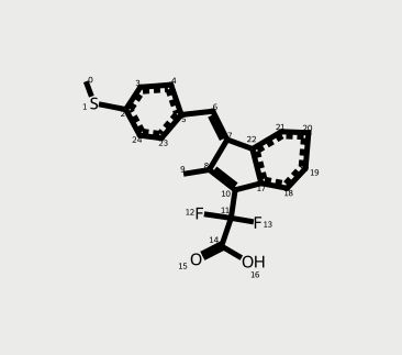 CSc1ccc(C=C2C(C)=C(C(F)(F)C(=O)O)c3ccccc32)cc1